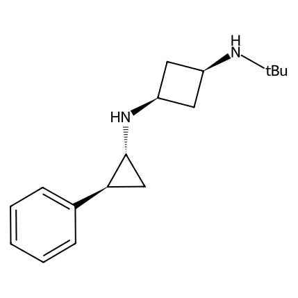 CC(C)(C)N[C@H]1C[C@@H](N[C@@H]2C[C@H]2c2ccccc2)C1